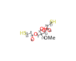 COCC(CO)(COC(=O)CCS)COC(=O)CCS